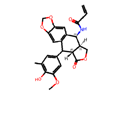 C=CC(=O)N[C@@H]1c2cc3c(cc2C(c2cc(C)c(O)c(OC)c2)[C@H]2C(=O)OC[C@H]12)OCO3